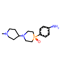 CN1CCC(N2CCP(=O)(c3ccc(N)cc3)CC2)CC1